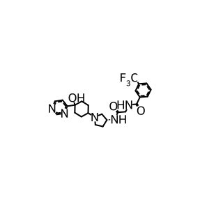 O=C(CNC(=O)c1cccc(C(F)(F)F)c1)N[C@@H]1CCN(C2CCC(O)(c3ccncn3)CC2)C1